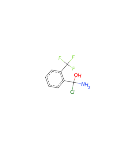 NC(O)(Cl)c1ccccc1C(F)(F)F